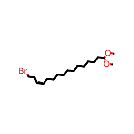 COC(CCCCCCCCCCC/C=C\CCBr)OC